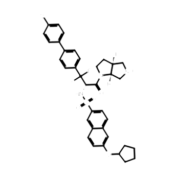 O=C([C@H](NS(=O)(=O)c1ccc2cc(OC3CCCC3)ccc2c1)C(F)(F)c1ccc(-c2ccc(Cl)cc2)cc1)N1CC[C@@H]2CNC[C@@H]21